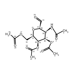 CC(=O)N[C@H]1[C@@H](OC(C)=O)[C@@H](OC(C)=O)[C@@H](COC(C)=O)O[C@H]1C=O